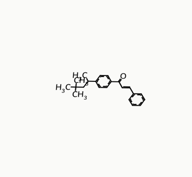 CC(CC(C)(C)C)c1ccc(C(=O)C=Cc2ccccc2)cc1